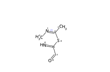 C/N=C(/C)SC(=N)C=O